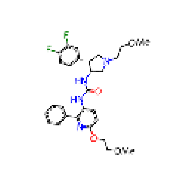 COCCOc1ccc(NC(=O)N[C@@H]2CN(CCOC)C[C@H]2c2ccc(F)c(F)c2)c(-c2ccccc2)n1